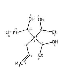 C=CC[P+](C(O)CC)(C(O)CC)C(O)CC.[Cl-]